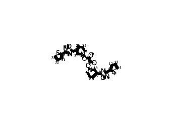 O=C(ON1CCC=C(c2nc(-c3cccs3)no2)C1)C(=O)ON1CCC=C(c2nc(-c3cccs3)no2)C1